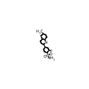 Cc1ccc2nc(-c3ccc(S(N)(=O)=O)c(F)c3)ccc2c1